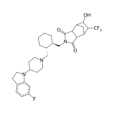 O=C1C2C3CC(C2C(=O)N1C[C@@H]1CCCC[C@H]1CN1CCC(N2CCc4ccc(F)cc42)CC1)C(C(F)(F)F)C3O